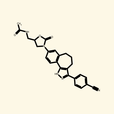 CC(=O)NCC1CN(c2ccc3c(c2)CCCc2c(-c4ccc(C#N)cc4)n[nH]c2-3)C(=O)O1